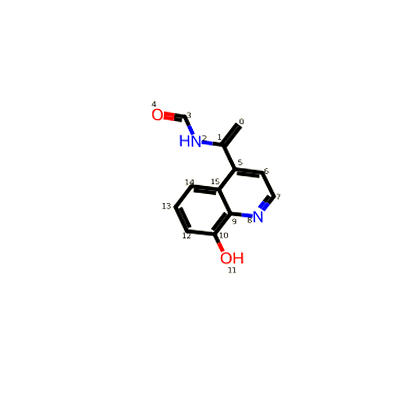 C=C(NC=O)c1ccnc2c(O)cccc12